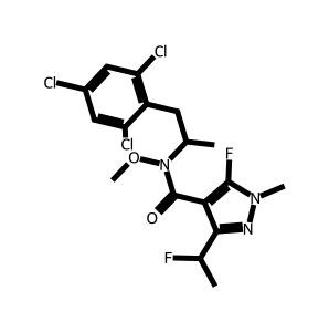 CON(C(=O)c1c(C(C)F)nn(C)c1F)C(C)Cc1c(Cl)cc(Cl)cc1Cl